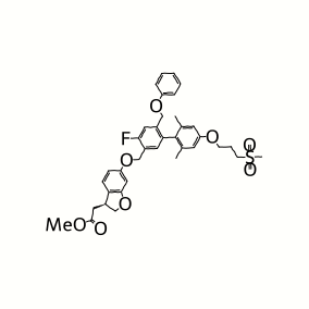 COC(=O)C[C@@H]1COc2cc(OCc3cc(-c4c(C)cc(OCCCS(C)(=O)=O)cc4C)c(COc4ccccc4)cc3F)ccc21